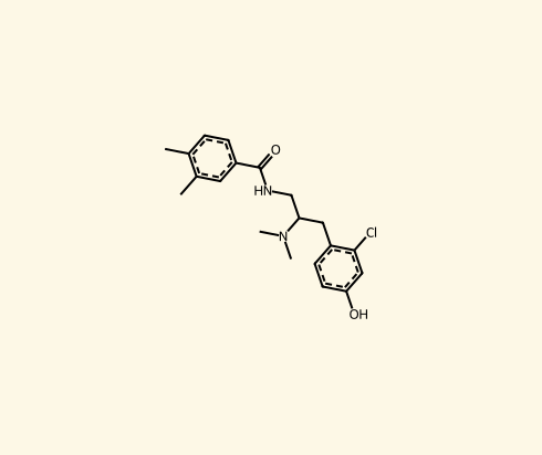 Cc1ccc(C(=O)NCC(Cc2ccc(O)cc2Cl)N(C)C)cc1C